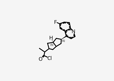 CC(C(=O)Cl)C1CC2C[C@H](c3ccnc4ccc(F)cc34)C[C@@H]2C1